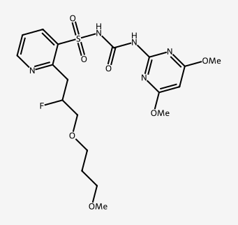 COCCCOCC(F)Cc1ncccc1S(=O)(=O)NC(=O)Nc1nc(OC)cc(OC)n1